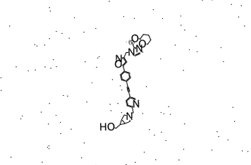 C[C@H](OC1CCCCO1)c1nccn1Cc1cc(-c2ccc(C#Cc3ccc(CN4CC5C(CO)C5C4)nc3)cc2)on1